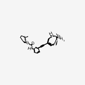 C[C@@H]1CCCN1C(=O)Nc1cccc(C#CC2=CN=C(N)NC2)c1